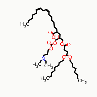 CCCCC/C=C\C/C=C\CCCCCCC(CC(COC(=O)CCC(OCCCCCCCC)OCCCCCCCC)COC(=O)OCCCN(CC)CC)C(=O)O